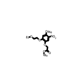 CCOCCOc1cc(OC)c([N+](=O)[O-])cc1OCC(=O)OC(C)(C)C